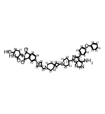 Nc1ncnc2c1c(-c1ccc(Oc3ccccc3)cc1)nn2C1CCN(C2CC3(CCN(CC4CN(c5ccc6c(c5)C(=O)N(C5CCC(O)NC5=O)C6=O)C4)CC3)C2)CC1